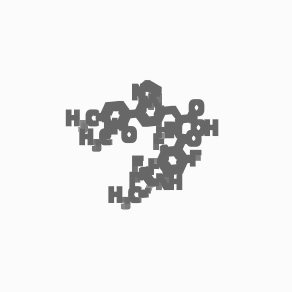 CC[C@@H](Nc1cc(F)c(C(=O)N[C@@H](Cc2ccc(-c3ccc(C)n(C)c3=O)c3nccn23)C(=O)O)c(F)c1)C(F)(F)F